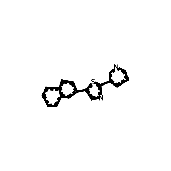 [c]1nc(-c2cccnc2)sc1-c1ccc2ccccc2c1